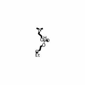 CCOCCO[PH](=O)OCCN(C)C